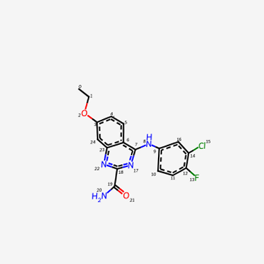 CCOc1[c]cc2c(Nc3ccc(F)c(Cl)c3)nc(C(N)=O)nc2c1